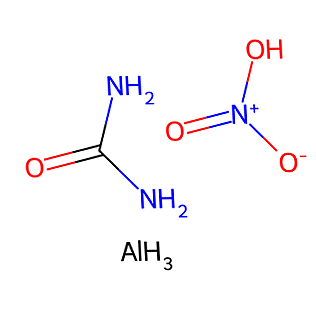 NC(N)=O.O=[N+]([O-])O.[AlH3]